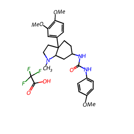 COc1ccc(NC(=O)NC2CCC3(c4ccc(OC)c(OC)c4)CCN(C)C3C2)cc1.O=C(O)C(F)(F)F